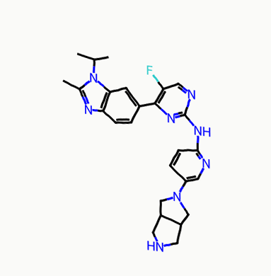 Cc1nc2ccc(-c3nc(Nc4ccc(N5CC6CNCC6C5)cn4)ncc3F)cc2n1C(C)C